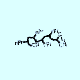 CCCC(CC#N)CC(CCC)CC(CCC)CC(CCC)CC(C)C#N